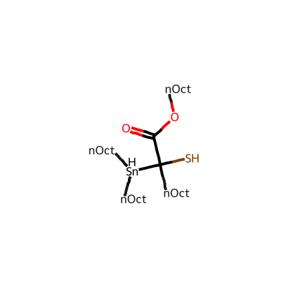 CCCCCCCCOC(=O)[C](S)(CCCCCCCC)[SnH]([CH2]CCCCCCC)[CH2]CCCCCCC